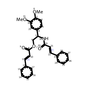 COc1ccc(C(COC(=O)/C=C/c2ccccc2)NC(=O)/C=C/c2ccccc2)cc1OC